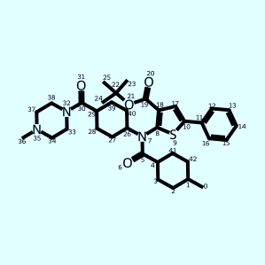 CC1CCC(C(=O)N(c2sc(-c3ccccc3)cc2C(=O)OC(C)(C)C)C2CCC(C(=O)N3CCN(C)CC3)CC2)CC1